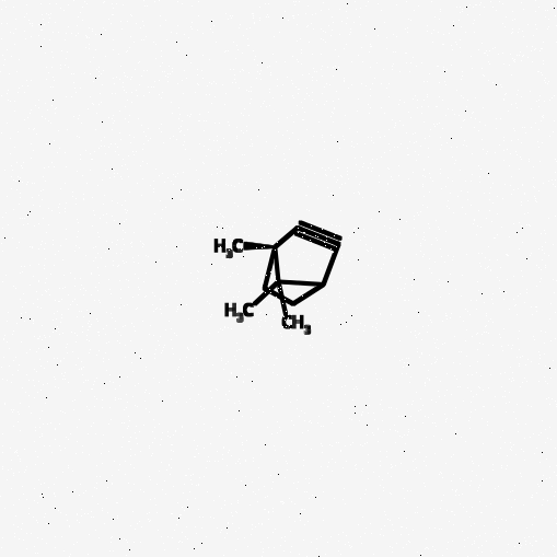 CC1(C)C2C#C[C@@]1(C)CC2